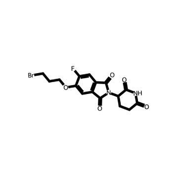 O=C1CCC(N2C(=O)c3cc(F)c(OCCCBr)cc3C2=O)C(=O)N1